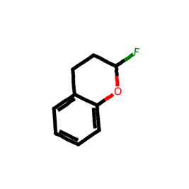 FC1CCc2ccccc2O1